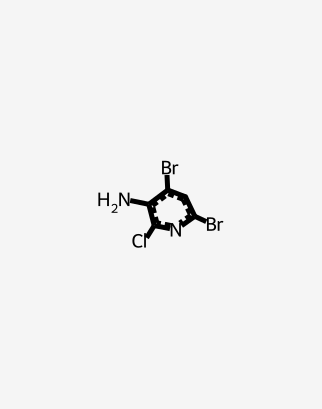 Nc1c(Br)cc(Br)nc1Cl